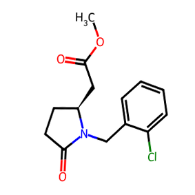 COC(=O)C[C@@H]1CCC(=O)N1Cc1ccccc1Cl